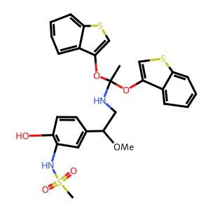 COC(CNC(C)(Oc1csc2ccccc12)Oc1csc2ccccc12)c1ccc(O)c(NS(C)(=O)=O)c1